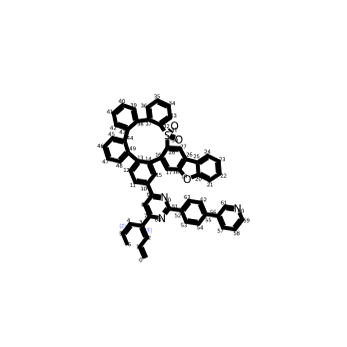 C=C/C=C(\C=C/C)c1cc(-c2ccc3c(c2)-c2cc4oc5ccccc5c4cc2S(=O)(=O)c2ccccc2-c2ccccc2-c2ccccc2-3)nc(-c2ccc(-c3cccnc3)cc2)n1